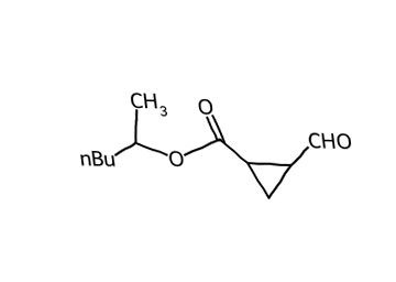 CCCCC(C)OC(=O)C1CC1C=O